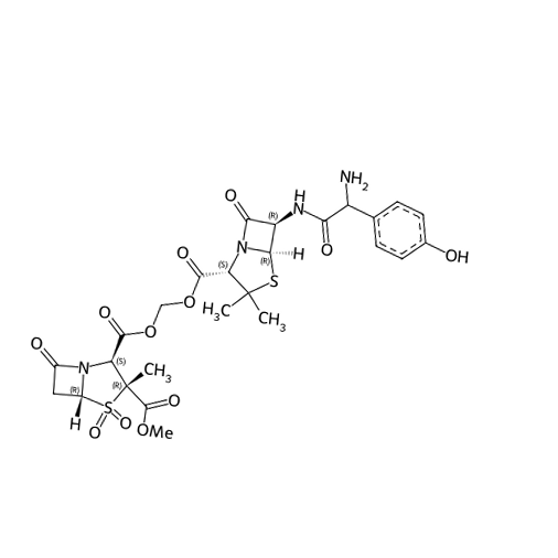 COC(=O)[C@@]1(C)[C@H](C(=O)OCOC(=O)[C@@H]2N3C(=O)[C@@H](NC(=O)C(N)c4ccc(O)cc4)[C@H]3SC2(C)C)N2C(=O)C[C@H]2S1(=O)=O